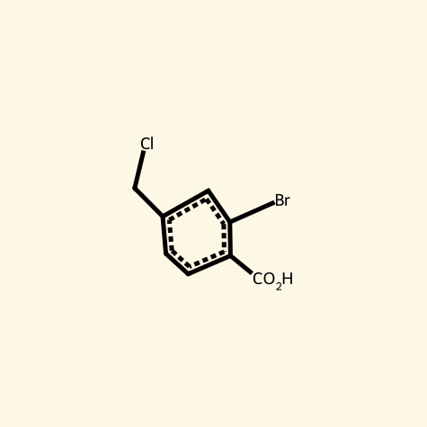 O=C(O)c1ccc(CCl)cc1Br